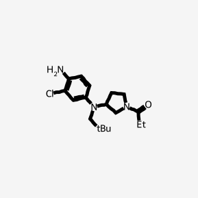 CCC(=O)N1CCC(N(CC(C)(C)C)c2ccc(N)c(Cl)c2)C1